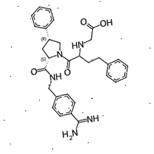 N=C(N)c1ccc(CNC(=O)[C@@H]2C[C@H](c3ccccc3)CN2C(=O)C(CCc2ccccc2)NCC(=O)O)cc1